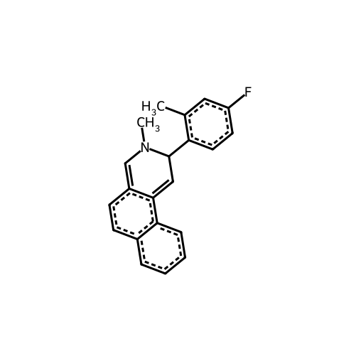 Cc1cc(F)ccc1C1C=c2c(ccc3ccccc23)=CN1C